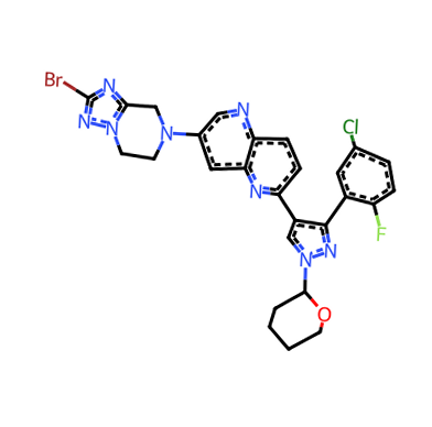 Fc1ccc(Cl)cc1-c1nn(C2CCCCO2)cc1-c1ccc2ncc(N3CCn4nc(Br)nc4C3)cc2n1